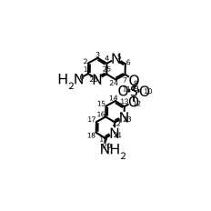 Nc1ccc2ncc(OS(=O)(=O)Oc3ccc4ccc(N)nc4n3)cc2n1